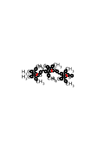 Cc1ccc(N2c3ccc(C)cc3B3c4cc(C)ccc4N(c4ccc(C)cc4-c4ccc5c(c4)sc4cc(Cc6ccc7c(c6)B6c8cc(C)ccc8N(c8ccc(C)cc8-c8cccc9c8sc8ccc(Cc%10ccc%11c(c%10)B%10c%12cc(C)ccc%12N(c%12ccc(C)cc%12)c%12cccc(c%12%10)N%11c%10ccc(C)cc%10-c%10ccc%11sc%12ccccc%12c%11c%10)cc89)c8cccc(c86)N7c6ccc(C)cc6)ccc45)c4cccc2c43)cc1